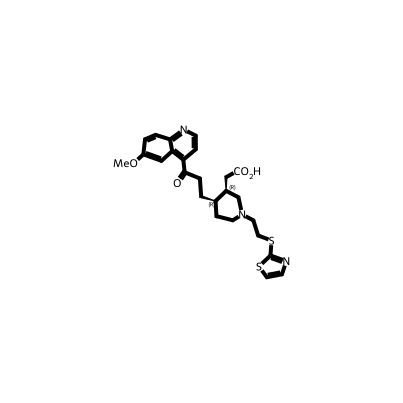 COc1ccc2nccc(C(=O)CC[C@@H]3CCN(CCSc4nccs4)C[C@@H]3CC(=O)O)c2c1